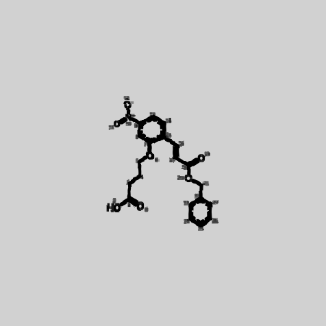 O=C(O)CCCOc1cc([N+](=O)[O-])ccc1/C=C/C(=O)OCc1ccccc1